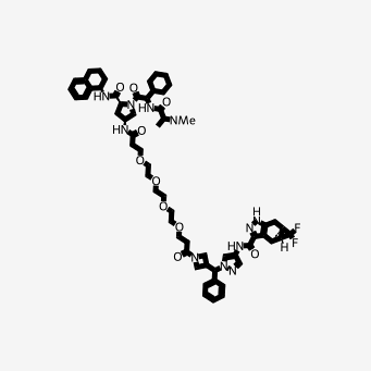 CNC(C)C(=O)NC(C(=O)N1C[C@@H](NC(=O)CCOCCOCCOCCOCCC(=O)N2CC(C(c3ccccc3)n3cc(NC(=O)c4n[nH]c5c4C[C@@H]4C(F)(F)[C@]4(C)C5)cn3)C2)C[C@H]1C(=O)N[C@@H]1CCCc2ccccc21)C1CCCCC1